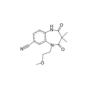 COCCN1C(=O)C(C)(C)C(=O)Nc2ccc(C#N)cc21